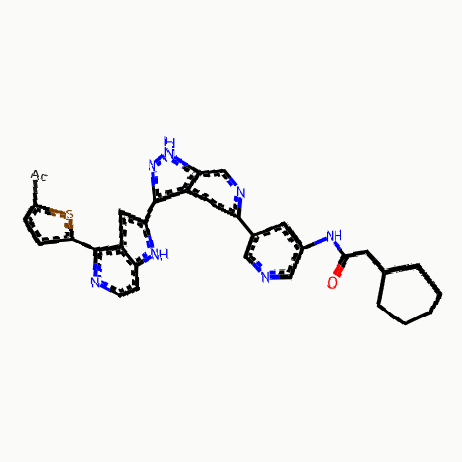 CC(=O)c1ccc(-c2nccc3[nH]c(-c4n[nH]c5cnc(-c6cncc(NC(=O)CC7CCCCC7)c6)cc45)cc23)s1